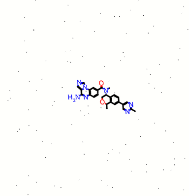 Cc1ncc(-c2ccc3c(c2)C(C)OC[C@H]3N(C)C(=O)c2ccc3nc(N)c4cncn4c3c2)cn1